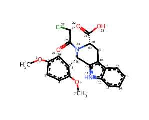 COc1ccc(OC)c([C@H]2c3[nH]c4ccccc4c3C[C@@H](C(=O)O)N2C(=O)CCl)c1